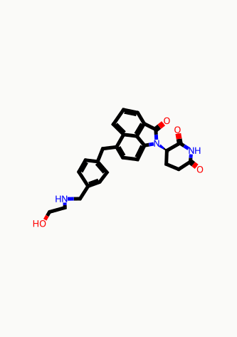 O=C1CC[C@@H](N2C(=O)c3cccc4c(Cc5ccc(CNCCO)cc5)ccc2c34)C(=O)N1